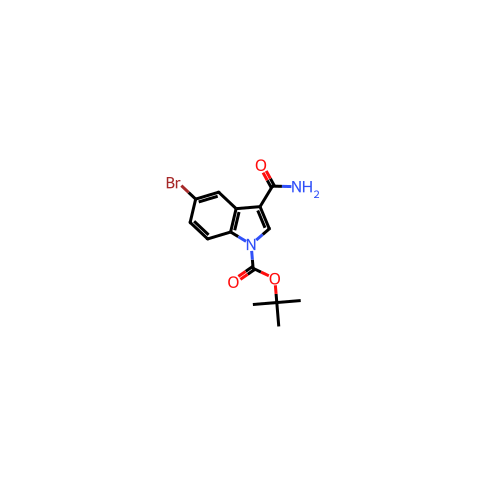 CC(C)(C)OC(=O)n1cc(C(N)=O)c2cc(Br)ccc21